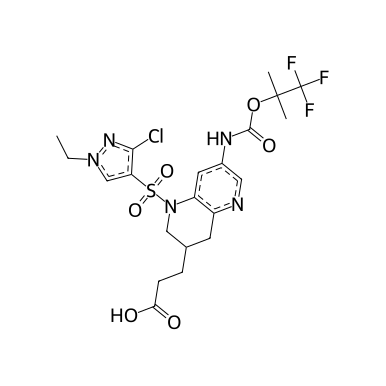 CCn1cc(S(=O)(=O)N2CC(CCC(=O)O)Cc3ncc(NC(=O)OC(C)(C)C(F)(F)F)cc32)c(Cl)n1